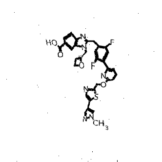 Cn1cc(-c2cnc(COc3cccc(-c4cc(F)c(Cc5nc6ccc(C(=O)O)cc6n5C[C@@H]5CCO5)cc4F)n3)s2)cn1